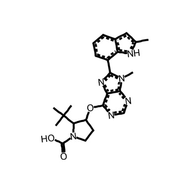 Cc1cc2cccc(-c3nc4c(OC5CCN(C(=O)O)C5C(C)(C)C)ncnc4n3C)c2[nH]1